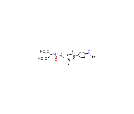 C/C(=C\c1cc(C)c(-c2ccc(NC(C)C)cc2)cc1C)C(=O)N[C@H](CC(=O)O)C(=O)O